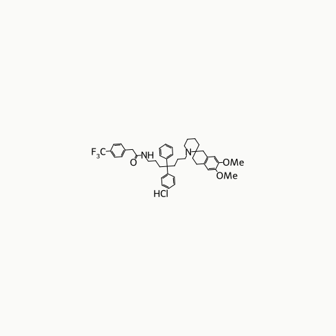 COc1cc2c(cc1OC)CC1(CCCCN1CCCC(CCCNC(=O)Cc1ccc(C(F)(F)F)cc1)(c1ccccc1)c1ccccc1)CC2.Cl